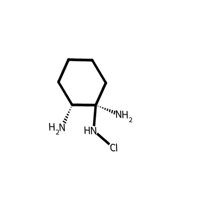 N[C@@H]1CCCC[C@@]1(N)NCl